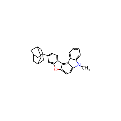 Cn1c2ccccc2c2c3c(ccc21)oc1cc(C24CC5CC(CC(C5)C2)C4)ccc13